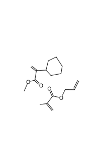 C=C(C(=O)OC)C1CCCCC1.C=CCOC(=O)C(=C)C